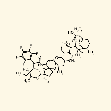 CCC(C(=O)[C@@H](C)[C@@H](O)C1(C)C[C@]12O[C@@H]([C@@H](CC)C(=O)O)CC[C@@H]2C)[C@H]1O[C@]2(C=CC(NC(=O)Nc3c(F)c(F)c(F)c(F)c3F)[C@]3(CC[C@@](C)([C@H]4CC[C@](O)(CC)[C@H](C)O4)O3)O2)[C@H](C)C[C@@H]1C